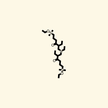 CCO[Si](C)(C)CCCC(=O)C(CC)CN(CC)CC(CC)C(=O)CCC[Si](C)(C)OCC